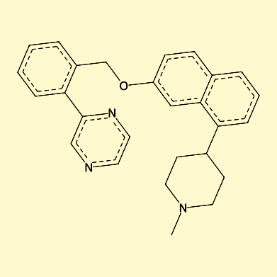 CN1CCC(c2cccc3ccc(OCc4ccccc4-c4cnccn4)cc23)CC1